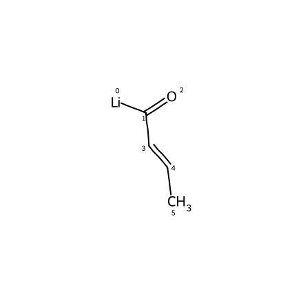 [Li][C](=O)C=CC